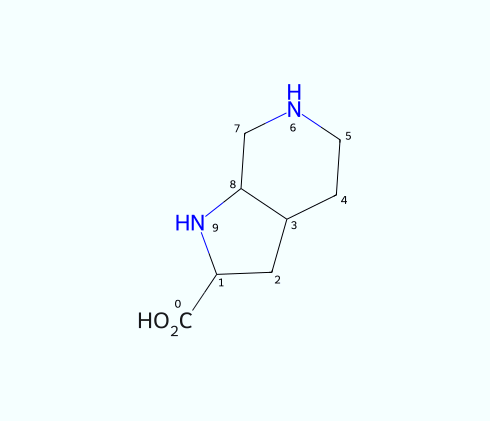 O=C(O)C1CC2CCNCC2N1